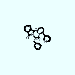 O=C([C@H](Cc1ccccc1)N1C(=O)c2ccccc2C1=O)N1CCCCC1c1cccnc1